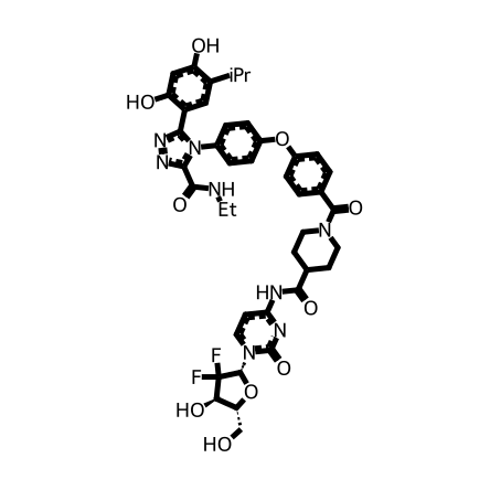 CCNC(=O)c1nnc(-c2cc(C(C)C)c(O)cc2O)n1-c1ccc(Oc2ccc(C(=O)N3CCC(C(=O)Nc4ccn([C@@H]5O[C@H](CO)[C@@H](O)C5(F)F)c(=O)n4)CC3)cc2)cc1